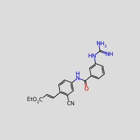 CCOC(=O)/C=C/c1ccc(NC(=O)c2cccc(NC(=N)N)c2)cc1C#N